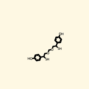 Oc1ccc(C(S)COCOCC(S)c2ccc(O)cc2)cc1